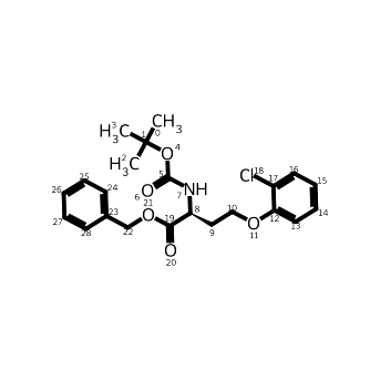 CC(C)(C)OC(=O)N[C@@H](CCOc1ccccc1Cl)C(=O)OCc1ccccc1